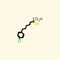 O=C(O)C(S)CCCCCc1ccc(Cl)cc1